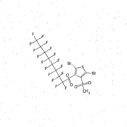 CS(=O)(=O)c1c(Br)sc(Br)c1S(=O)(=O)C(F)(F)C(F)(F)C(F)(F)C(F)(F)C(F)(F)C(F)(F)C(F)(F)C(F)(F)F